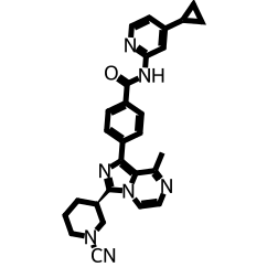 Cc1nccn2c([C@@H]3CCCN(C#N)C3)nc(-c3ccc(C(=O)Nc4cc(C5CC5)ccn4)cc3)c12